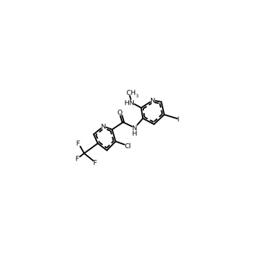 CNc1ncc(I)cc1NC(=O)c1ncc(C(F)(F)F)cc1Cl